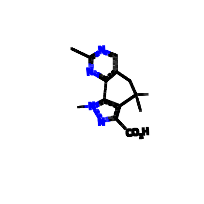 Cc1ncc2c(n1)-c1c(c(C(=O)O)nn1C)C(C)(C)C2